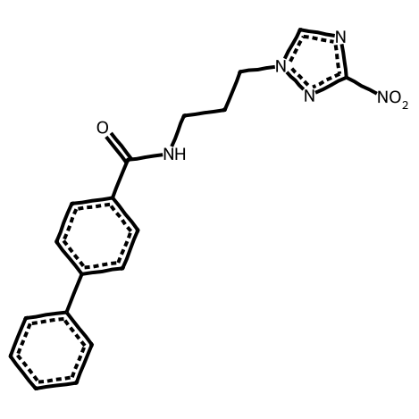 O=C(NCCCn1cnc([N+](=O)[O-])n1)c1ccc(-c2ccccc2)cc1